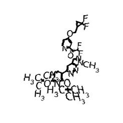 Cn1nc(O[C@H](c2cc(OCC3CC3(F)F)ccn2)C(F)F)c2cc(-c3cnc(OC(C)(C)C)nc3OC(C)(C)C)nnc21